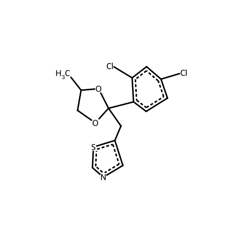 CC1COC(Cc2cncs2)(c2ccc(Cl)cc2Cl)O1